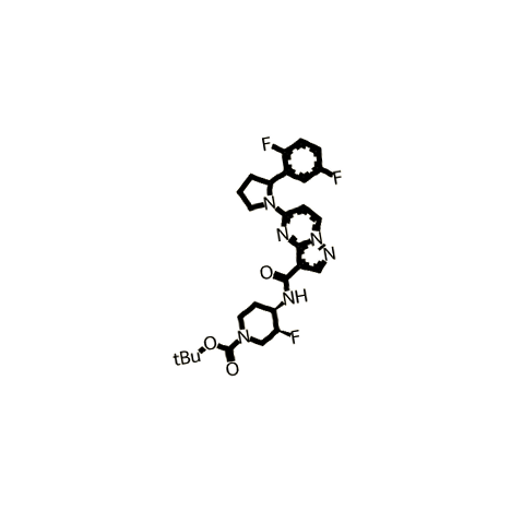 CC(C)(C)OC(=O)N1CC[C@@H](NC(=O)c2cnn3ccc(N4CCCC4c4cc(F)ccc4F)nc23)[C@@H](F)C1